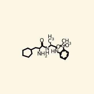 C[C@@H](CNc1ccccc1S(C)(=O)=O)NC(=O)[C@@H](N)CC1CCCCC1